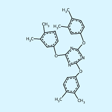 Cc1ccc(Oc2nc(Oc3ccc(C)c(C)c3)nc(Oc3ccc(C)c(C)c3)n2)cc1C